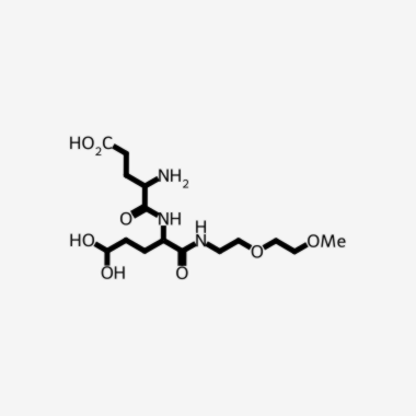 COCCOCCNC(=O)C(CCC(O)O)NC(=O)C(N)CCC(=O)O